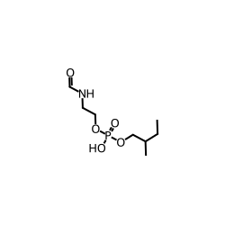 CCC(C)COP(=O)(O)OCCNC=O